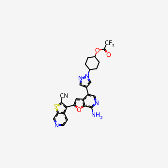 N#Cc1sc2cnccc2c1-c1cc2c(-c3cnn(C4CCC(OC(=O)C(F)(F)F)CC4)c3)cnc(N)c2o1